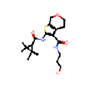 CC1(C)C(C(=O)Nc2sc3c(c2C(=O)NCCCO)CCOC3)C1(C)C